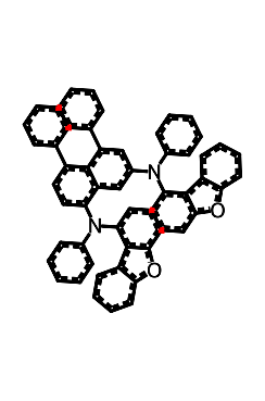 c1ccc(-c2ccc(N(c3ccccc3)c3cccc4oc5ccccc5c34)c3cc(N(c4ccccc4)c4cccc5oc6ccccc6c45)cc(-c4ccccc4)c23)cc1